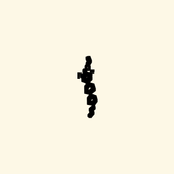 C=CCOCc1c(F)cc(C2CCC([C@H]3CC[C@H](CCCC)CC3)CC2)cc1F